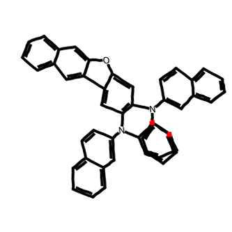 c1ccc(N(c2ccc3ccccc3c2)c2cc3oc4cc5ccccc5cc4c3cc2N(c2ccccc2)c2ccc3ccccc3c2)cc1